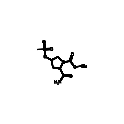 CC(C)(C)OC(=O)N1CC(OS(C)(=O)=O)CC1C(N)=O